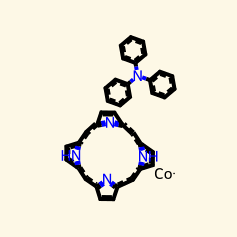 C1=Cc2cc3ccc(cc4nc(cc5ccc(cc1n2)[nH]5)C=C4)[nH]3.[Co].c1ccc(N(c2ccccc2)c2ccccc2)cc1